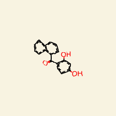 O=C(c1ccc(O)cc1O)c1cccc2ccccc12